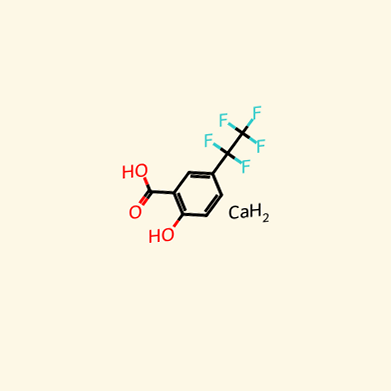 O=C(O)c1cc(C(F)(F)C(F)(F)F)ccc1O.[CaH2]